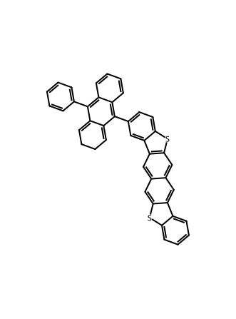 C1=c2c(-c3ccccc3)c3ccccc3c(-c3ccc4sc5cc6cc7c(cc6cc5c4c3)sc3ccccc37)c2=CCC1